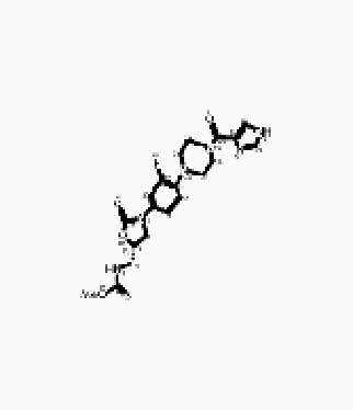 COC(=S)NC[C@H]1CN(c2ccc(N3CCN(C(=O)c4c[nH]cn4)CC3)c(F)c2)C(=O)O1